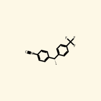 [C-]#[N+]c1ccc([C@@H](C)c2ccc(C(F)(F)F)cc2)cc1